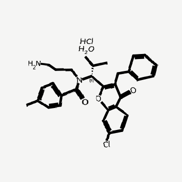 Cc1ccc(C(=O)N(CCCN)[C@@H](c2oc3cc(Cl)ccc3c(=O)c2Cc2ccccc2)C(C)C)cc1.Cl.O